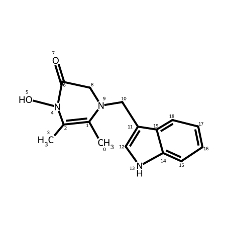 CC1=C(C)N(O)C(=O)CN1Cc1c[nH]c2ccccc12